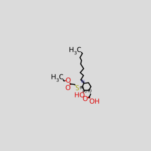 CCCCCCCC/C=C1\CC[C@H](CC(=O)O)[C@@H](O)[C@@H]1SCC(=O)OCC